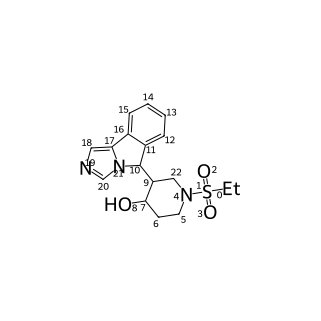 CCS(=O)(=O)N1CCC(O)C(C2c3ccccc3-c3cncn32)C1